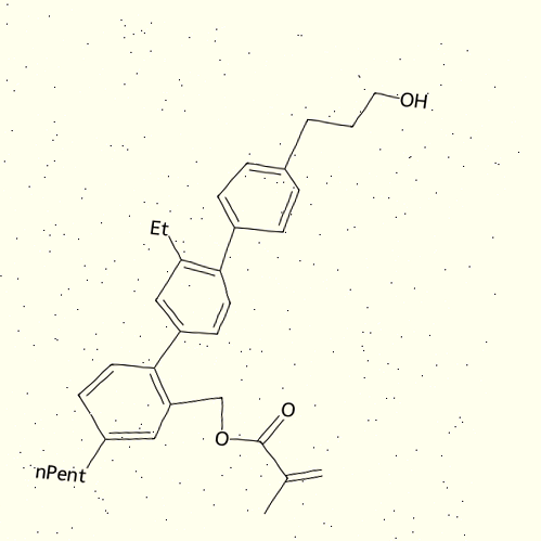 C=C(C)C(=O)OCc1cc(CCCCC)ccc1-c1ccc(-c2ccc(CCCO)cc2)c(CC)c1